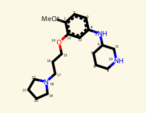 COc1ccc(NC2CCCNC2)cc1OCCCN1CCCC1